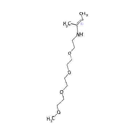 C/C=C(\C)NCCOCCOCCOCCOC